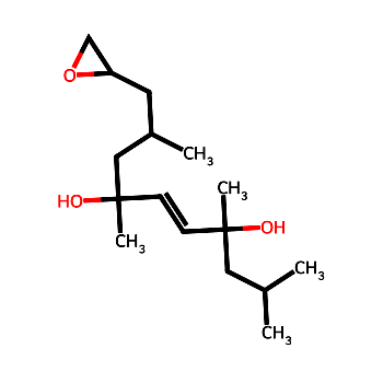 CC(C)CC(C)(O)C=CC(C)(O)CC(C)CC1CO1